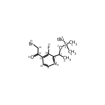 CC(O[Si](C)(C)C(C)(C)C)c1nccc(C(=O)CBr)c1F